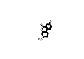 CN1CC=C(c2ccc(Br)cc2[N+](=O)[O-])CC1